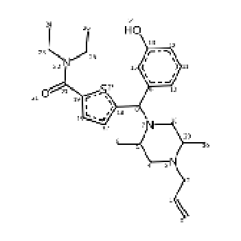 C=CCN1CC(C)N(C(c2cccc(O)c2)c2ccc(C(=O)N(CC)CC)s2)CC1C